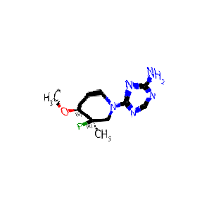 CO[C@H]1CCN(c2ncnc(N)n2)C[C@@]1(C)F